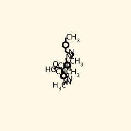 CCC1CCC(Cc2nccn2Cc2cc(C(c3ccc4c(nnn4C)c3C)C(C)(C)C(=O)O)ccc2C)CC1